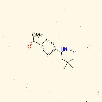 COC(=O)c1ccc(C2CC(C)(C)CCN2)cc1